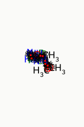 COc1ccc(CN(Cc2ccc(OC)cc2)c2cc(C)c(C(F)(F)F)c(-c3cc4c5c(c3Cl)=NCNC=5N(C(c3cccnc3N)C(F)(F)F)C=CO4)n2)cc1